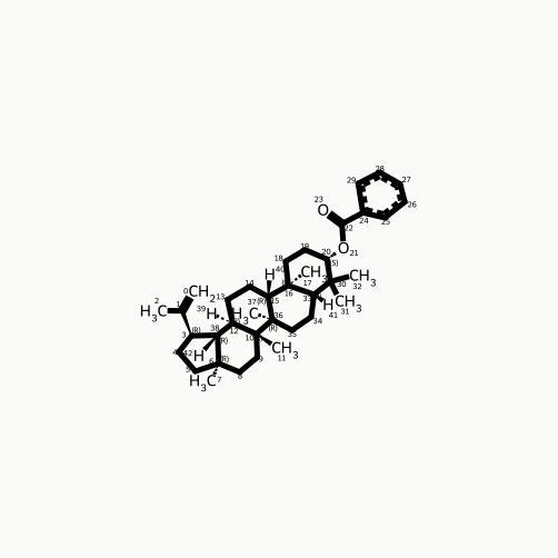 C=C(C)[C@@H]1CC[C@]2(C)CC[C@]3(C)[C@H](CC[C@@H]4[C@@]5(C)CC[C@H](OC(=O)c6ccccc6)C(C)(C)[C@@H]5CC[C@]43C)[C@@H]12